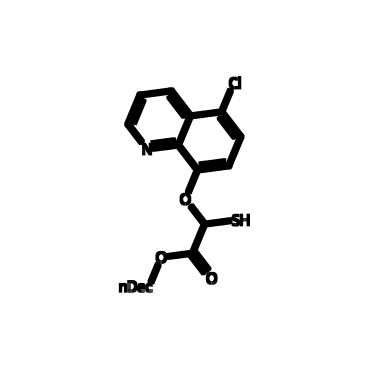 CCCCCCCCCCOC(=O)C(S)Oc1ccc(Cl)c2cccnc12